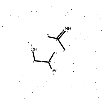 CC(C)=N.CC(C)C(C)CO